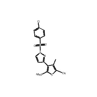 CSc1sc(C#N)c(C)c1-c1ccn(S(=O)(=O)c2ccc(Cl)cc2)n1